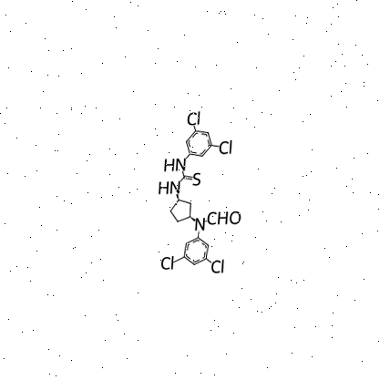 O=CN(c1cc(Cl)cc(Cl)c1)[C@H]1CC[C@@H](NC(=S)Nc2cc(Cl)cc(Cl)c2)C1